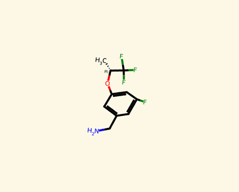 C[C@@H](Oc1cc(F)cc(CN)c1)C(F)(F)F